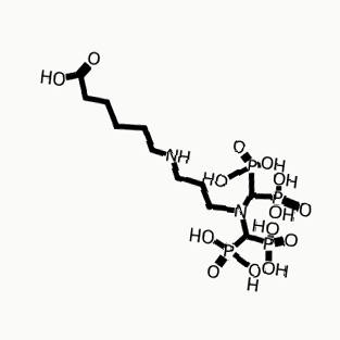 O=C(O)CCCCCNCCCN(C(P(=O)(O)O)P(=O)(O)O)C(P(=O)(O)O)P(=O)(O)O